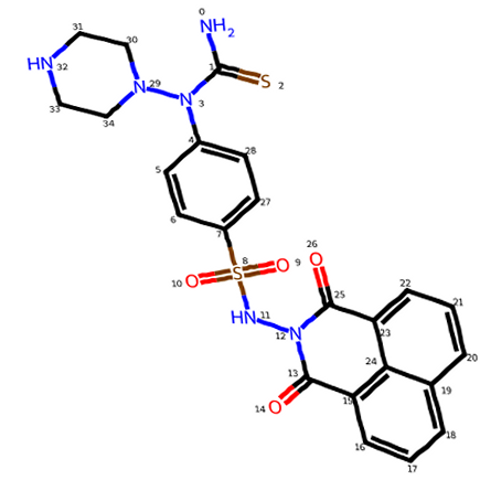 NC(=S)N(c1ccc(S(=O)(=O)NN2C(=O)c3cccc4cccc(c34)C2=O)cc1)N1CCNCC1